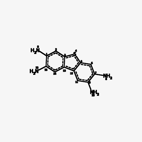 Nc1cc2sc3cc(N)c(N)cc3c2cc1N